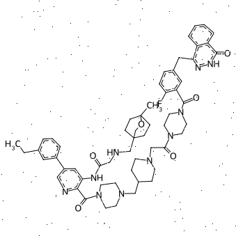 CCc1cccc(-c2cnc(C(=O)N3CCN(CC4CCN(CC(=O)N5CCN(C(=O)c6cc(Cc7n[nH]c(=O)c8ccccc78)ccc6F)CC5)CC4)CC3)c(NC(=O)CNCC34CCC(C)(CC3)OC4)c2)c1